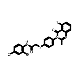 Cc1nc2cccc(F)c2c(=O)n1-c1ccc(SCC(=O)Nc2ccc(Cl)cc2Br)cc1